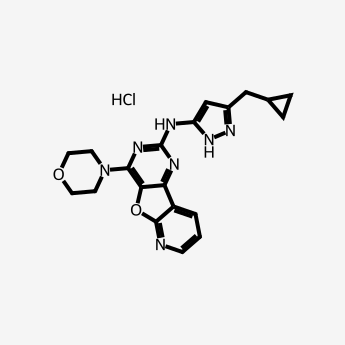 Cl.c1cnc2oc3c(N4CCOCC4)nc(Nc4cc(CC5CC5)n[nH]4)nc3c2c1